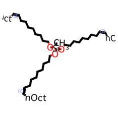 CCCCCCCC/C=C\CCCCCCCCO[Si](C)(OCCCCCCCC/C=C\CCCCCCCC)OCCCCCCCC/C=C\CCCCCCCC